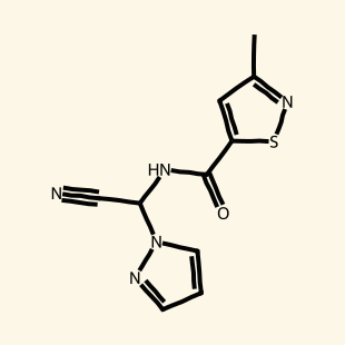 Cc1cc(C(=O)NC(C#N)n2cccn2)sn1